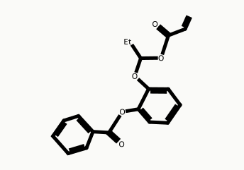 C=CC(=O)OC(CC)Oc1ccccc1OC(=O)c1ccccc1